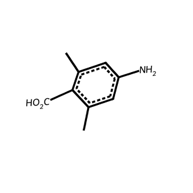 Cc1cc(N)cc(C)c1C(=O)O